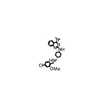 COc1cc(Cl)ccc1CNC[C@H]1CC[C@@H](Nc2nc(N(C)C)c3ccccc3n2)CC1